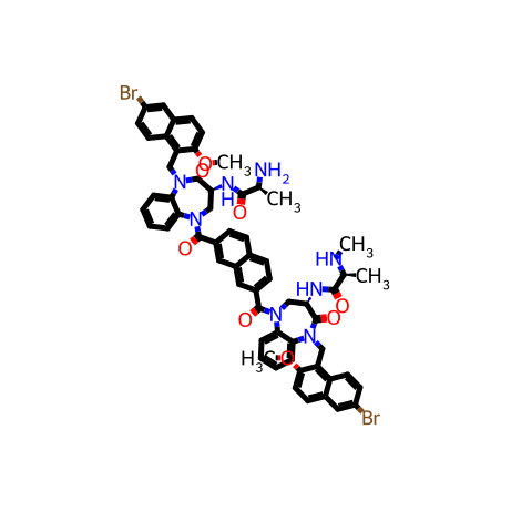 CN[C@@H](C)C(=O)N[C@H]1CN(C(=O)c2ccc3ccc(C(=O)N4C[C@H](NC(=O)[C@H](C)N)C(=O)N(Cc5c(OC)ccc6cc(Br)ccc56)c5ccccc54)cc3c2)c2ccccc2N(Cc2c(OC)ccc3cc(Br)ccc23)C1=O